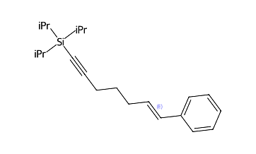 CC(C)[Si](C#CCCC/C=C/c1ccccc1)(C(C)C)C(C)C